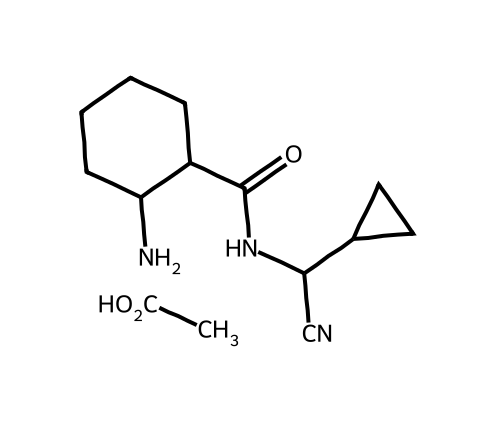 CC(=O)O.N#CC(NC(=O)C1CCCCC1N)C1CC1